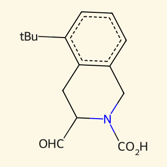 CC(C)(C)c1cccc2c1CC(C=O)N(C(=O)O)C2